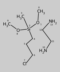 CO[Si](C)(CCCCl)OC.NCCN